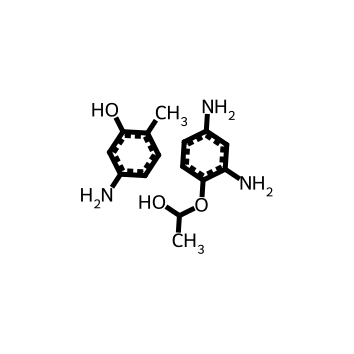 CC(O)Oc1ccc(N)cc1N.Cc1ccc(N)cc1O